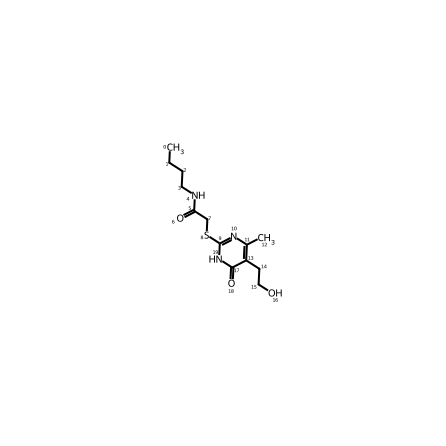 CCCCNC(=O)CSc1nc(C)c(CCO)c(=O)[nH]1